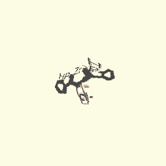 [Cl-].[Cl-].c1ccc2c3[c]([pH]c2c1)[Zr+2][c]1[pH]c2ccccc2c1CC3